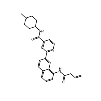 C=CCC(=O)Nc1cccc2ccc(-c3nccc(C(=O)NC4CCN(C)CC4)n3)cc12